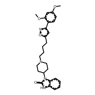 COc1ccc(-c2cc(CCCCN3CCC(n4c(=O)[nH]c5ccccc54)CC3)on2)c(OC)c1